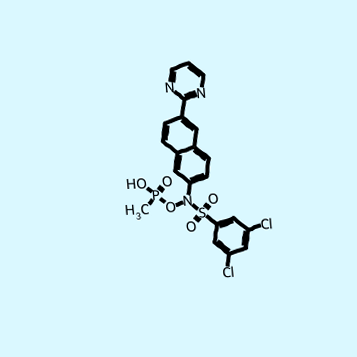 CP(=O)(O)ON(c1ccc2cc(-c3ncccn3)ccc2c1)S(=O)(=O)c1cc(Cl)cc(Cl)c1